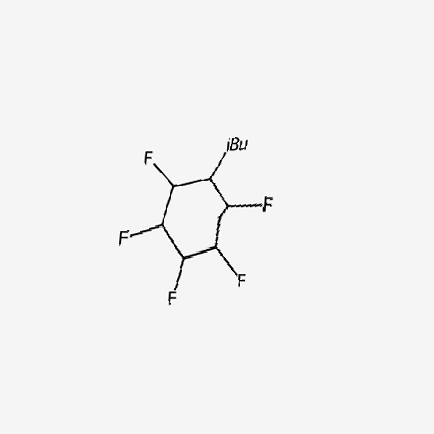 CCC(C)C1C(F)C(F)C(F)C(F)C1F